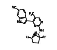 N#Cc1ccc2c(-c3nc(N[C@H]4C[C@H]5CC[C@@H]4N5)ncc3C(F)(F)F)c[nH]c2c1